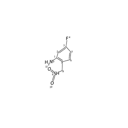 Nc1cc(F)ccc1C[SH](=O)=O